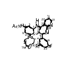 CC(=O)Nc1cc(Nc2c(C)c(-c3cc(F)cc(F)c3)nc3ncccc23)cc(N2CCOCC2)c1